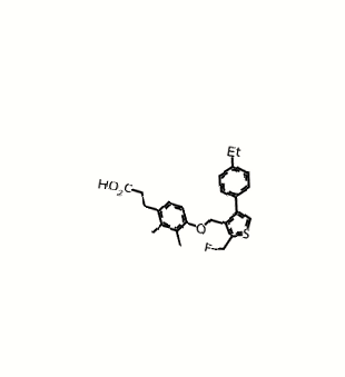 CCc1ccc(-c2csc(CF)c2COc2ccc(CCC(=O)O)c(C)c2C)cc1